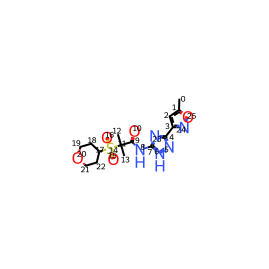 Cc1cc(-c2n[nH]c(NC(=O)C(C)(C)S(=O)(=O)C3CCOCC3)n2)no1